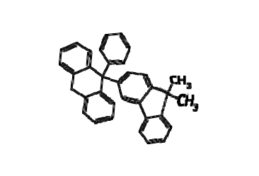 CC1(C)c2ccccc2-c2cc(C3(c4ccccc4)c4ccccc4Cc4ccccc43)ccc21